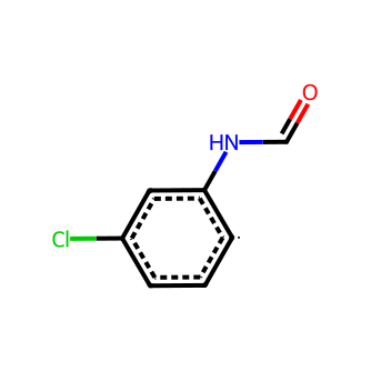 O=CNc1[c]ccc(Cl)c1